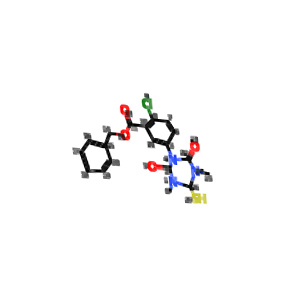 CN1C(=O)N(c2ccc(Cl)c(C(=O)OCc3ccccc3)c2)C(=O)N(C)C1S